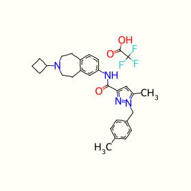 Cc1ccc(Cn2nc(C(=O)Nc3ccc4c(c3)CCN(C3CCC3)CC4)cc2C)cc1.O=C(O)C(F)(F)F